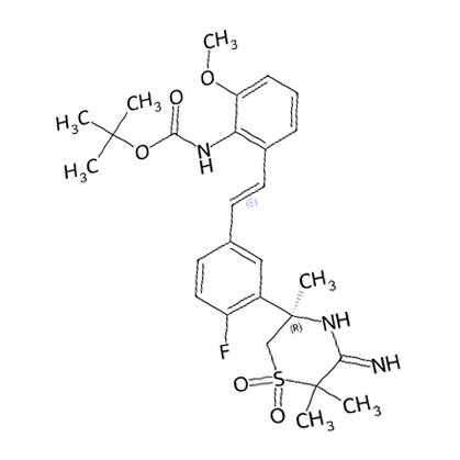 COc1cccc(/C=C/c2ccc(F)c([C@]3(C)CS(=O)(=O)C(C)(C)C(=N)N3)c2)c1NC(=O)OC(C)(C)C